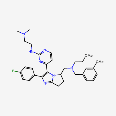 COCCN(Cc1cccc(OC)c1)CC1CCc2nc(-c3ccc(F)cc3)c(-c3ccnc(NCCN(C)C)n3)n21